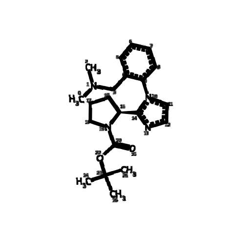 CN(C)Cc1ccccc1-n1ccnc1[C@@H]1CCCN1C(=O)OC(C)(C)C